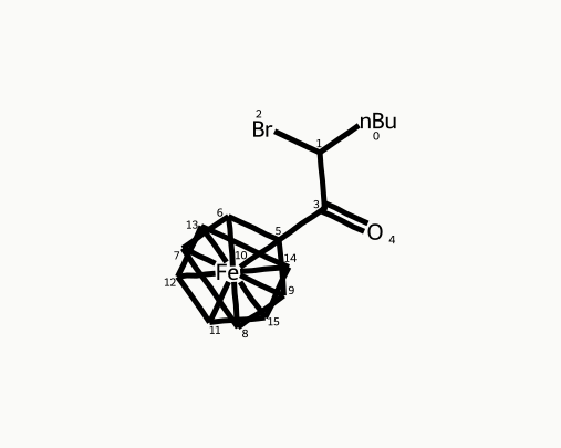 CCCCC(Br)C(=O)[C]12[CH]3[CH]4[CH]5[CH]1[Fe]45321678[CH]2[CH]1[CH]6[CH]7[CH]28